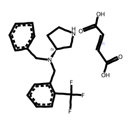 FC(F)(F)c1ccccc1CN(Cc1ccccc1)[C@H]1CCNC1.O=C(O)/C=C/C(=O)O